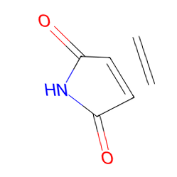 C=C.O=C1C=CC(=O)N1